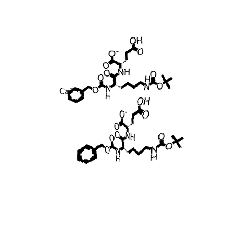 CC(C)(C)OC(=O)NCCCC[C@H](NC(=O)OCc1ccccc1)C(=O)N[C@@H](CCC(=O)O)C(=O)[O-].CC(C)(C)OC(=O)NCCCC[C@H](NC(=O)OCc1ccccc1)C(=O)N[C@@H](CCC(=O)O)C(=O)[O-].[Ca+2]